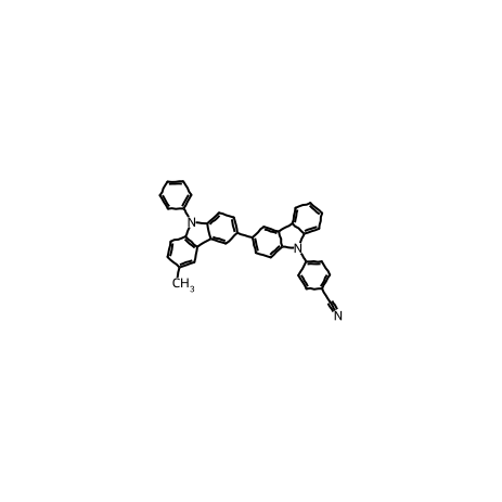 Cc1ccc2c(c1)c1cc(-c3ccc4c(c3)c3ccccc3n4-c3ccc(C#N)cc3)ccc1n2-c1ccccc1